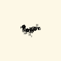 CC(C)n1nc(-c2ccc(NS(=O)(=O)Cc3ccccc3F)c(F)c2)c2c(N)ncc(C3=CC[C@H](NC4COC4)CC3)c21